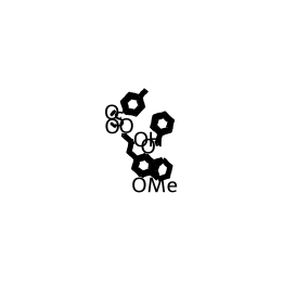 COc1cc(CC(O)COS(=O)(=O)c2ccc(C)cc2)c(OCc2ccccc2)c2c1C1CCC2CC1